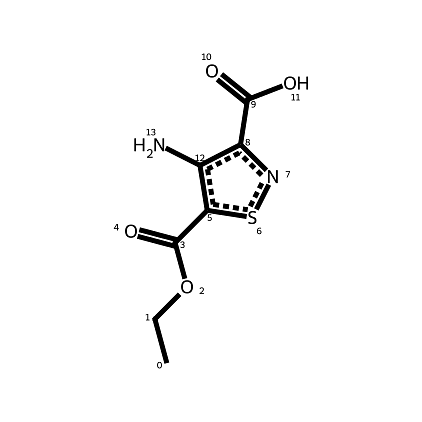 CCOC(=O)c1snc(C(=O)O)c1N